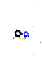 Fc1cccc(-n2nnnc2S)c1